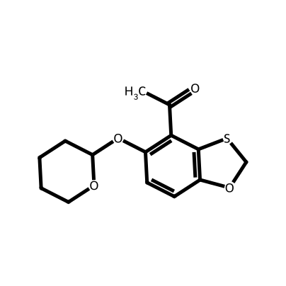 CC(=O)c1c(OC2CCCCO2)ccc2c1SCO2